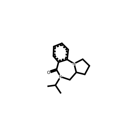 CC(C)N1CC2CCCN2c2ccccc2C1=O